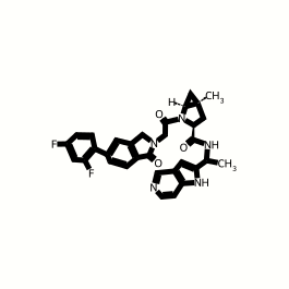 CC(NC(=O)[C@@H]1C[C@]2(C)C[C@@H]2N1C(=O)CN1Cc2cc(-c3ccc(F)cc3F)ccc2C1=O)c1cc2cnccc2[nH]1